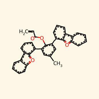 C=CC(=O)Oc1c(-c2cccc3c2oc2ccccc23)cc(C)cc1-c1cccc2c1oc1ccccc12